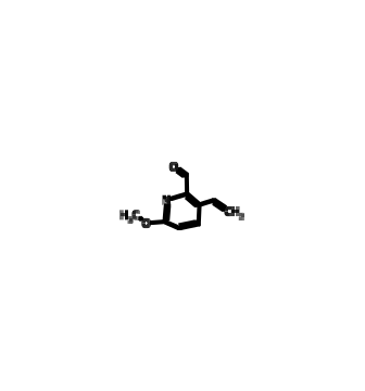 C=Cc1ccc(OC)nc1C=O